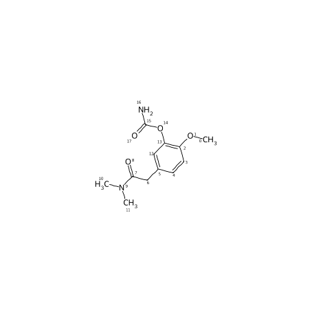 COc1ccc(CC(=O)N(C)C)cc1OC(N)=O